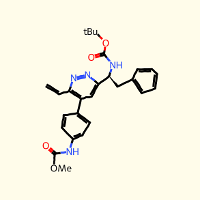 C=Cc1nnc([C@H](Cc2ccccc2)NC(=O)OC(C)(C)C)cc1-c1ccc(NC(=O)OC)cc1